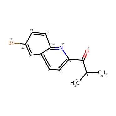 CC(C)C(=O)c1ccc2cc(Br)ccc2n1